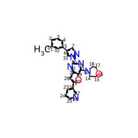 Cc1cccc(-c2cnn(-c3nc(N4CCOCC4)c4oc(-c5cccnc5)cc4n3)c2)c1